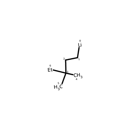 [Li][CH2]CC(C)(C)CC